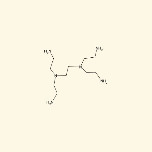 NCCN(CCN)CCN(CCN)CCN